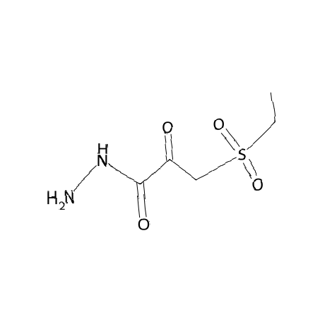 CCS(=O)(=O)CC(=O)C(=O)NN